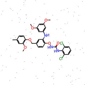 COc1cc(Nc2cc(COc3ccc(C)cc3OC)ccc2ONC(=O)Nc2c(Cl)cccc2Cl)cc(OC)c1